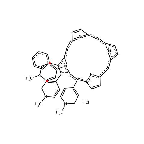 CN1C=CC(c2c3nc(cc4ccc(cc5nc(cc6c(-c7ccccc7)c(C7=CCN(C)C=C7)c2n6C2=CCN(C)C=C2)C=C5)[nH]4)C=C3)=CC1.Cl